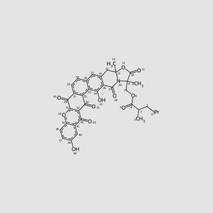 CC(C)CC(C)C(=O)OCC1(C)C(=O)OC2(C)Cc3cc4ccc5c(c4c(O)c3C(=O)N21)C(=O)c1c(oc2ccc(O)cc2c1=O)C5=O